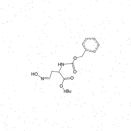 CCCCOC(=O)C(C/C=N\O)NC(=O)OCc1ccccc1